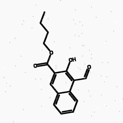 CCCCOC(=O)c1cc2ccccc2c(C=O)c1O